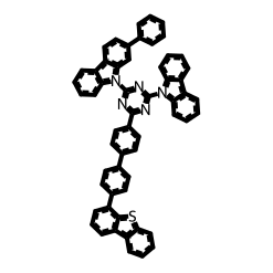 c1ccc(-c2ccc3c4ccccc4n(-c4nc(-c5ccc(-c6ccc(-c7cccc8c7sc7ccccc78)cc6)cc5)nc(-n5c6ccccc6c6ccccc65)n4)c3c2)cc1